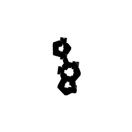 c1cn(-c2ncc3sccc3n2)cn1